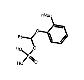 CCCCCCCCCc1ccccc1OC(CC)OP(=O)(O)O